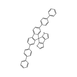 c1ccc(-c2ccc(-c3ccc4c(c3)C3(c5cc(-c6ccc(-c7ccccc7)cc6)ccc5-4)c4sccc4-c4ccsc43)cc2)cc1